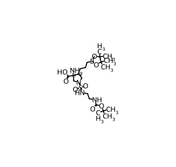 CC(C)(C)OC(=O)NCCNS(=O)(=O)N1C[C@H](CCCB2OC(C)(C)C(C)(C)O2)[C@](N)(C(=O)O)C1